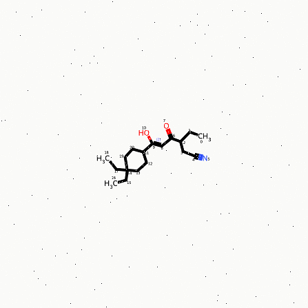 CCC(CC#N)C(=O)/C=C(\O)C1CCC(CC)(CC)CC1